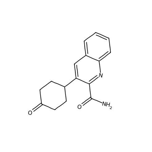 NC(=O)c1nc2ccccc2cc1C1CCC(=O)CC1